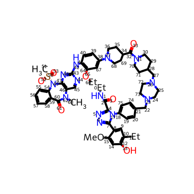 CCNC(=O)c1nnc(-c2cc(CC)c(O)cc2OC)n1-c1ccc(CN2CCN(CC3CCN(C(=O)C4CCN(c5ccc(Nc6ncc7c(n6)N(S(C)(=O)=O)c6ccccc6C(=O)N7C)c(OCC)c5)CC4)CC3)CC2)cc1